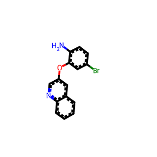 Nc1ccc(Br)cc1Oc1cnc2ccccc2c1